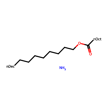 CCCCCCCCCCCCCCCCCCOC(=O)CCCCCCCC.N